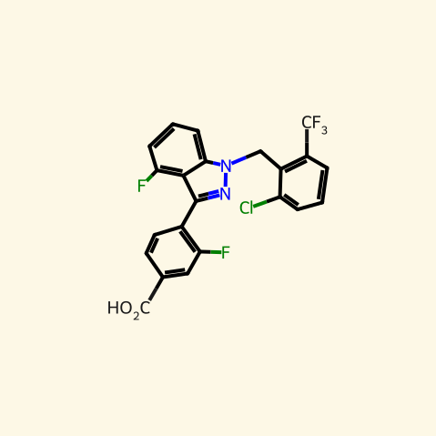 O=C(O)c1ccc(-c2nn(Cc3c(Cl)cccc3C(F)(F)F)c3cccc(F)c23)c(F)c1